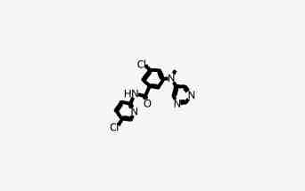 CN(c1cncnc1)c1cc(Cl)cc(C(=O)Nc2ccc(Cl)cn2)c1